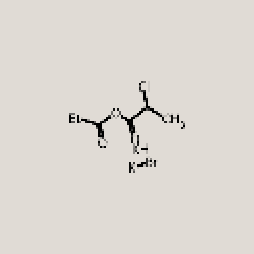 CCC(=O)OC(=O)C(C)Cl.[KH].[K][Br]